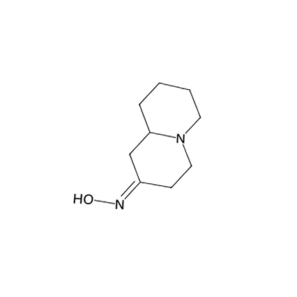 O/N=C1/CCN2CCCCC2C1